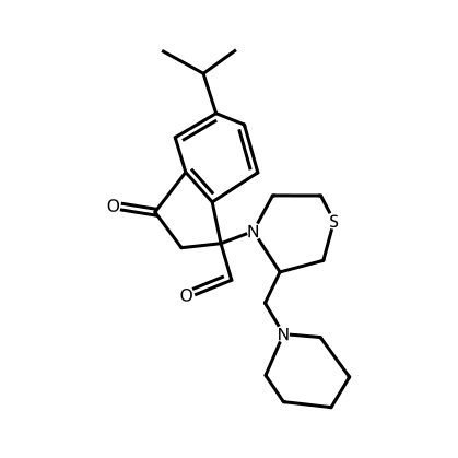 CC(C)c1ccc2c(c1)C(=O)CC2(C=O)N1CCSCC1CN1CCCCC1